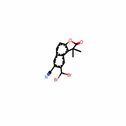 CC1(C)C(=O)Oc2ccc3cc(C#N)c(C(Br)Br)cc3c21